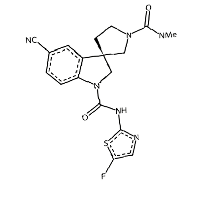 CNC(=O)N1CC[C@@]2(C1)CN(C(=O)Nc1ncc(F)s1)c1ccc(C#N)cc12